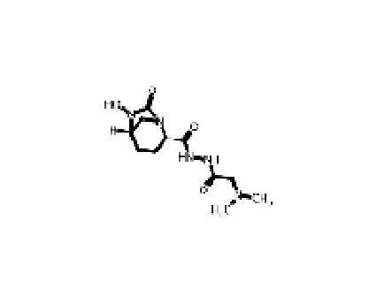 CN(C)CC(=O)NNC(=O)[C@H]1CC[C@H]2CN1C(=O)N2O